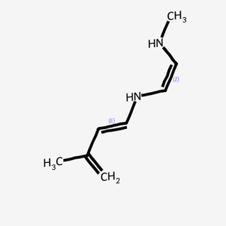 C=C(C)/C=C/N/C=C\NC